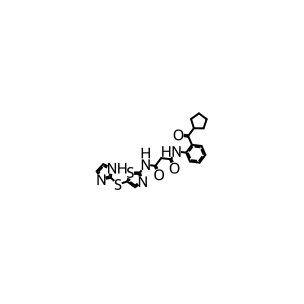 O=C(CC(=O)Nc1ccccc1C(=O)C1CCCC1)Nc1ncc(Sc2ncc[nH]2)s1